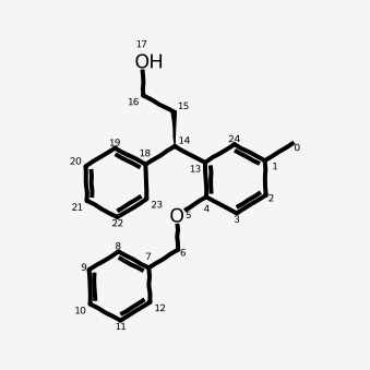 Cc1ccc(OCc2ccccc2)c([C@H](CCO)c2ccccc2)c1